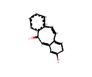 O=C1/C=C2/C=C(Br)CC=C2/C=C\c2ccccc21